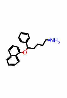 NCCCCC(Oc1cccc2ccccc12)c1ccccc1